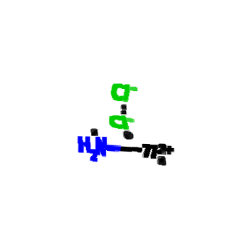 [Cl-].[Cl-].[NH2][Ti+2]